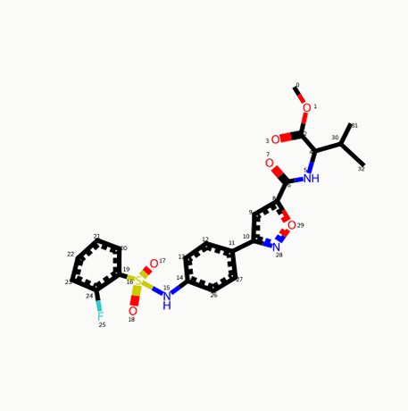 COC(=O)C(NC(=O)c1cc(-c2ccc(NS(=O)(=O)c3ccccc3F)cc2)no1)C(C)C